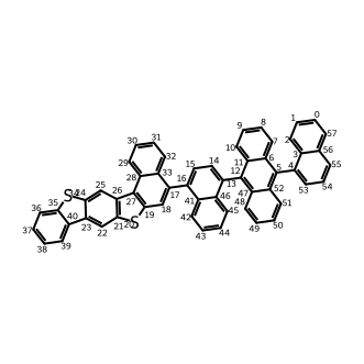 c1ccc2c(-c3c4ccccc4c(-c4ccc(-c5cc6sc7cc8c(cc7c6c6ccccc56)sc5ccccc58)c5ccccc45)c4ccccc34)cccc2c1